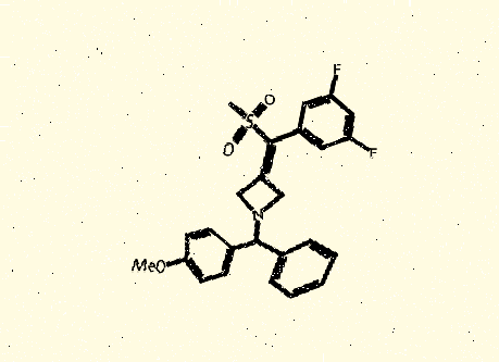 COc1ccc(C(c2ccccc2)N2CC(=C(c3cc(F)cc(F)c3)S(C)(=O)=O)C2)cc1